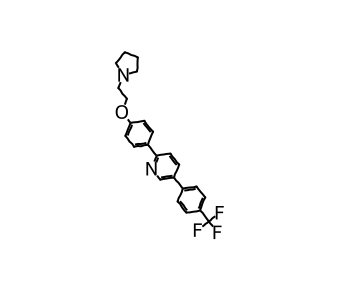 FC(F)(F)c1ccc(-c2ccc(-c3ccc(OCCN4CCCC4)cc3)nc2)cc1